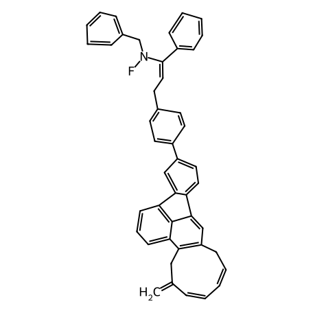 C=C1/C=C\C=C/Cc2cc3c4c(cccc4c2C1)-c1cc(-c2ccc(C/C=C(/c4ccccc4)N(F)Cc4ccccc4)cc2)ccc1-3